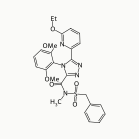 CCOc1cccc(-c2nnc(C(=O)N(C)S(=O)(=O)Cc3ccccc3)n2-c2c(OC)cccc2OC)n1